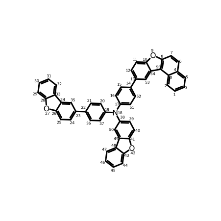 c1ccc2c(c1)ccc1oc3ccc(-c4ccc(N(c5ccc(-c6ccc7oc8ccccc8c7c6)cc5)c5ccc6oc7ccccc7c6c5)cc4)cc3c12